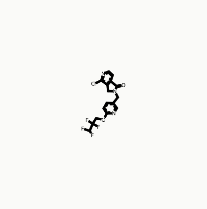 O=C1c2ccnc(Cl)c2CN1Cc1ccc(OCC(F)(F)C(F)F)nc1